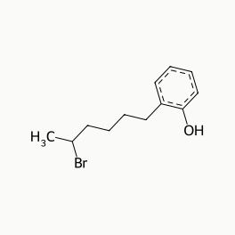 CC(Br)CCCCc1ccccc1O